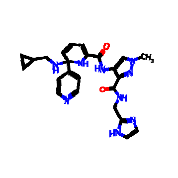 Cn1cc(NC(=O)C2=CC=CC(NCC3CC3)(c3ccncc3)N2)c(C(=O)NCc2ncc[nH]2)n1